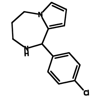 Clc1ccc(C2NCCCn3cccc32)cc1